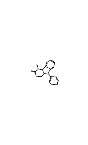 CN1C(=O)CCC2C(c3ccccc3)c3ccccc3C21